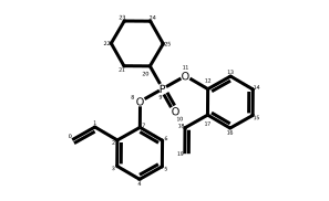 C=Cc1ccccc1OP(=O)(Oc1ccccc1C=C)C1CCCCC1